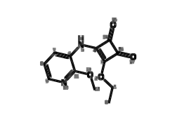 CCOc1c(Nc2cccnc2OC)c(=O)c1=O